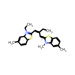 CCC(=CC1=[N+](CC)C2C=C(C)C=CC2S1)/C=C1\Sc2ccc(C)cc2N1C